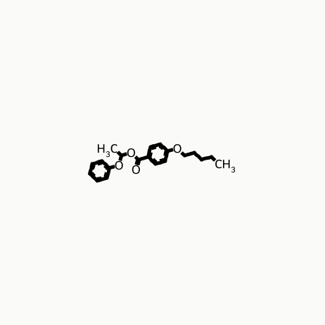 CCCCCOc1ccc(C(=O)OC(C)Oc2ccccc2)cc1